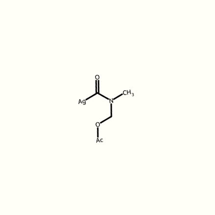 CC(=O)OCN(C)[C](=O)[Ag]